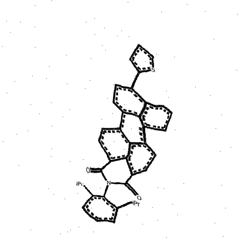 CC(C)c1cccc(C(C)C)c1N1C(=O)c2ccc3c4cccc5c(-c6cccs6)ccc(c6ccc(c2c36)C1=O)c54